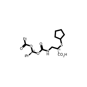 CCC(=O)O[C@@H](OC(=O)NC[C@H](SC1CCCC1)C(=O)O)C(C)C